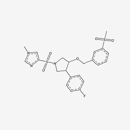 Cn1cnc(S(=O)(=O)N2CC(OCc3cccc(S(C)(=O)=O)c3)C(c3ccc(F)cc3)C2)c1